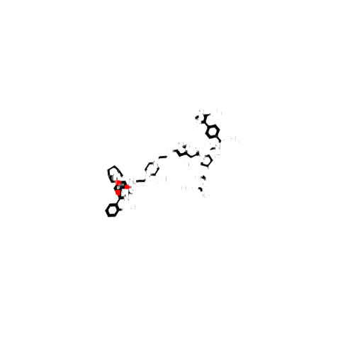 CCC(C)C(C)OC(=O)O[C@@H]1C[C@@H](C(=O)N[C@@H](C)c2ccc(-c3scnc3C)cc2)N(C(=O)[C@@H](c2cc(OCCN3CCN(CCOc4cc(N5C6CCC5CN(c5cc(-c7ccccc7O)nnc5N)C6)ccn4)[C@H](C)C3)no2)C(C)C)C1